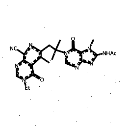 CCn1cnc2c(C#N)nc(CC(C)(C)n3cnc4nc(NC(C)=O)n(C)c4c3=O)c(C)c2c1=O